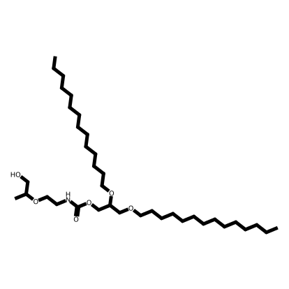 CCCCCCCCCCCCCCOCC(COC(=O)NCCOC(C)CO)OCCCCCCCCCCCCCC